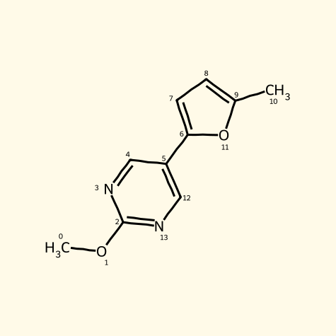 COc1ncc(-c2ccc(C)o2)cn1